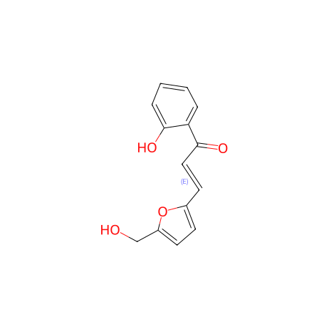 O=C(/C=C/c1ccc(CO)o1)c1ccccc1O